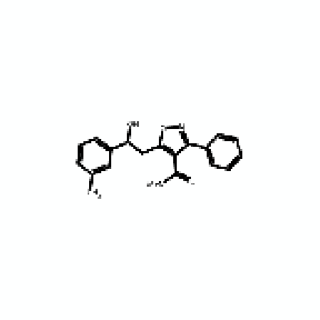 CNC(=O)c1c(-c2ccccc2)noc1CC(O)c1cccc(C)c1